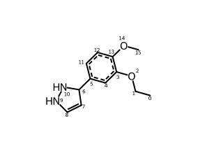 CCOc1cc(C2C=CNN2)ccc1OC